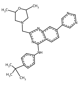 CC1CN(Cc2nc(Nc3ccc(C(C)(C)C)cc3)c3ccc(-c4cncnc4)cc3n2)CC(C)O1